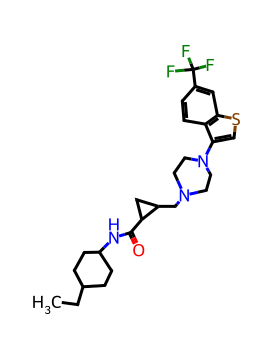 CCC1CCC(NC(=O)C2CC2CN2CCN(c3csc4cc(C(F)(F)F)ccc34)CC2)CC1